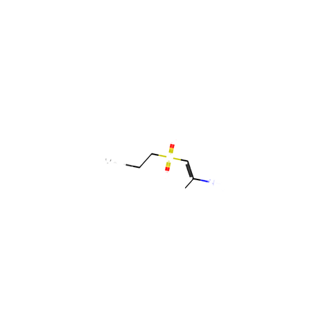 COCCS(=O)(=O)/C=C(\C)N